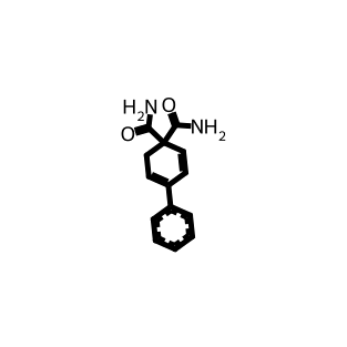 NC(=O)C1(C(N)=O)C=CC(c2ccccc2)=CC1